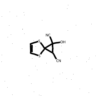 N#CC1C(O)(C#N)C12SC=CS2